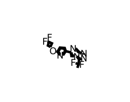 CC(F)(F)c1nnc2cnc(-c3ccc(OC4CC(F)(F)C4)nc3)cn12